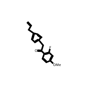 C=CCc1ccc(CC(=O)c2ccc(OC)cc2F)cc1